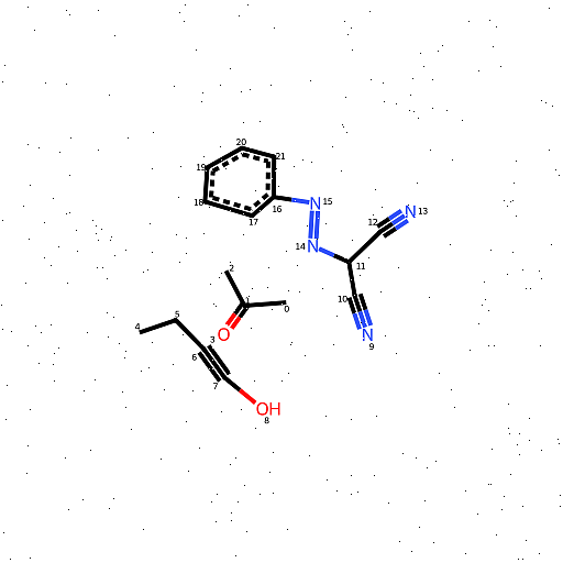 CC(C)=O.CCC#CO.N#CC(C#N)N=Nc1ccccc1